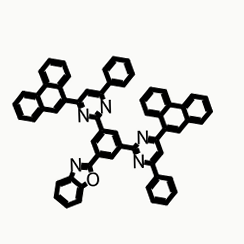 c1ccc(-c2cc(-c3cc4ccccc4c4ccccc34)nc(-c3cc(-c4nc(-c5ccccc5)cc(-c5cc6ccccc6c6ccccc56)n4)cc(-c4nc5ccccc5o4)c3)n2)cc1